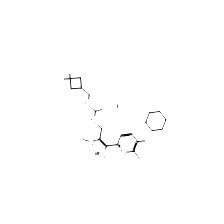 Cc1nc(-c2nnn(C)c2CNC(O)NCC2CC(F)(F)C2)ccc1O[C@H]1CCC[C@H](C(=O)O)C1